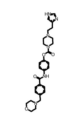 O=C(Nc1ccc(OC(=O)N2CCN(CCc3c[nH]cn3)CC2)cc1)c1ccc(CN2CCOCC2)cc1